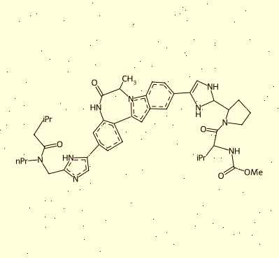 CCCN(Cc1ncc(-c2ccc3c(c2)NC(=O)C(C)n2c-3cc3cc(C4=CNC(C5CCCN5C(=O)C(NC(=O)OC)C(C)C)N4)ccc32)[nH]1)C(=O)CC(C)C